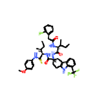 CCC(C)[C@H](NC(=O)Cc1ccccc1F)C(=O)N[C@]1(C(=O)NC(C(=S)Nc2ccc(OC)cc2)[C@@H](C)CC)CCc2[nH]c3c(C(F)(F)F)cccc3c2C1